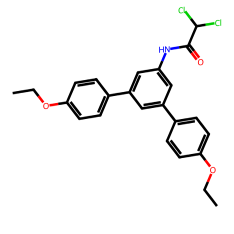 CCOc1ccc(-c2cc(NC(=O)C(Cl)Cl)cc(-c3ccc(OCC)cc3)c2)cc1